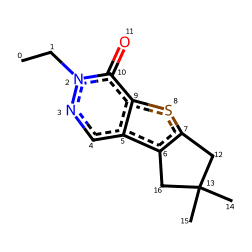 CCn1ncc2c3c(sc2c1=O)CC(C)(C)C3